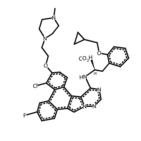 CN1CCN(CCOc2ccc3c(c2Cl)c2cc(F)ccc2c2cn4ncnc(N[C@H](Cc5ccccc5OCC5CC5)C(=O)O)c4c23)CC1